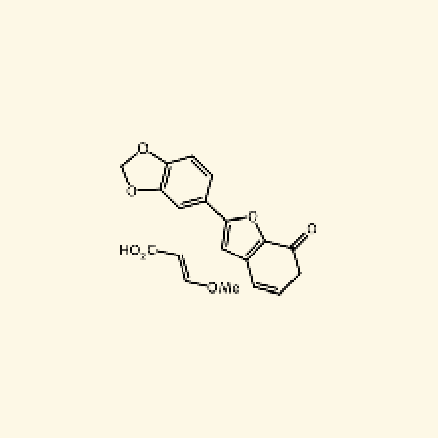 CO/C=C/C(=O)O.O=C1CC=Cc2cc(-c3ccc4c(c3)OCO4)oc21